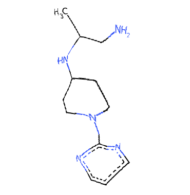 CC(CN)NC1CCN(c2ncccn2)CC1